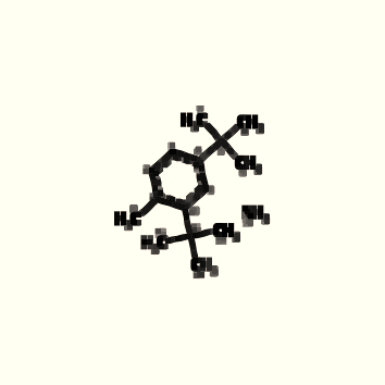 Cc1ccc(C(C)(C)C)cc1C(C)(C)C.N